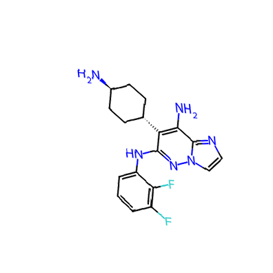 Nc1c2nccn2nc(Nc2cccc(F)c2F)c1[C@H]1CC[C@H](N)CC1